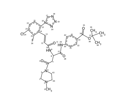 CN1CCN(C(=O)CC(NC(=O)C=Cc2c(-n3cnnn3)ccc(Cl)c2F)C(=O)Nc2ccc(C(=O)OC(C)(C)C)cc2)CC1